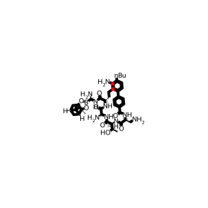 CCCCc1ccc(-c2ccc(C(=O)N[C@@H](CN)C(=O)N[C@H](C(=O)N[C@@H](N)C(=O)N[C@@H](CCCCN)C(=O)N[C@@H](N)B3OC4C[C@@H]5C[C@@H](C5(C)C)[C@]4(C)O3)[C@@H](C)O)cc2)cc1